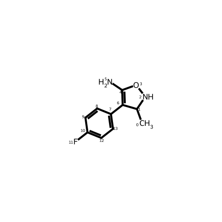 CC1NOC(N)=C1c1ccc(F)cc1